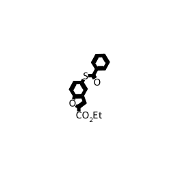 CCOC(=O)c1cc2cc(SC(=O)c3ccccc3)ccc2o1